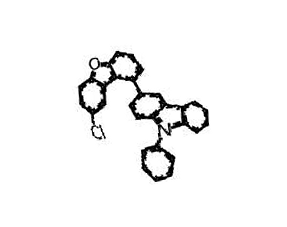 Clc1ccc2oc3cccc(-c4ccc5c(c4)c4ccccc4n5-c4ccccc4)c3c2c1